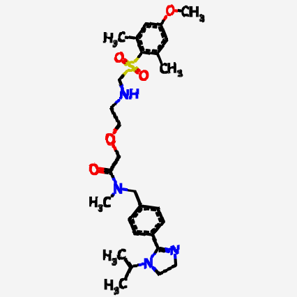 COc1cc(C)c(S(=O)(=O)CNCCOCC(=O)N(C)Cc2ccc(C3=NCCN3C(C)C)cc2)c(C)c1